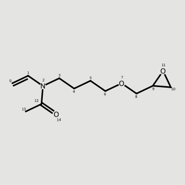 C=CN(CCCCOCC1CO1)C(C)=O